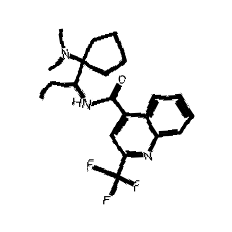 CCC(NC(=O)c1cc(C(F)(F)F)nc2ccccc12)C1(N(C)C)CCCC1